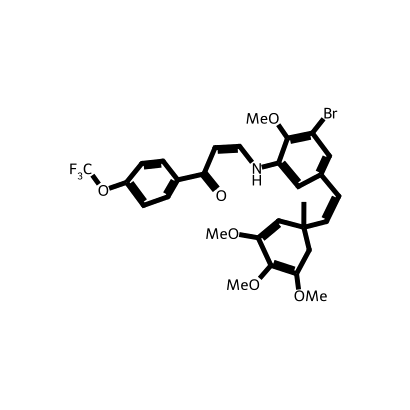 COC1=CC(C)(/C=C\c2cc(Br)c(OC)c(N/C=C\C(=O)c3ccc(OC(F)(F)F)cc3)c2)CC(OC)=C1OC